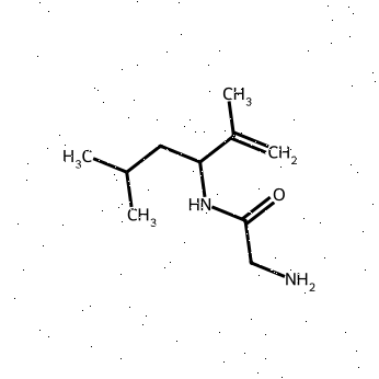 C=C(C)C(CC(C)C)NC(=O)CN